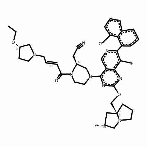 CCO[C@H]1CCN(C/C=C/C(=O)N2CCN(c3nc(OC[C@@]45CCCN4C[C@H](F)C5)nc4c(F)c(-c5cccc6cccc(Cl)c56)ncc34)C[C@@H]2CC#N)C1